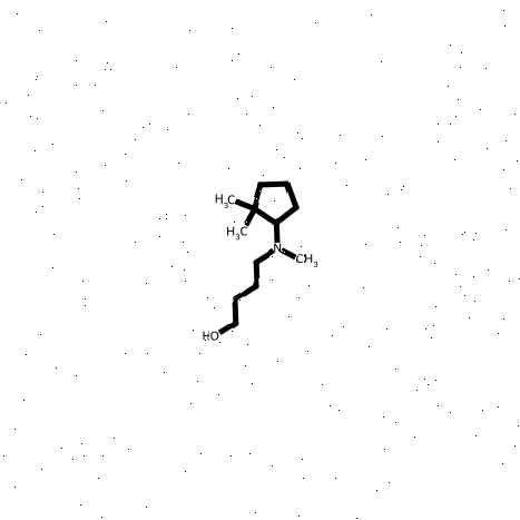 CN(CCCCO)C1CCCC1(C)C